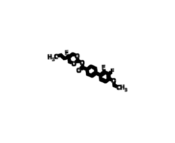 CCCC1(F)COC(OC(=O)C2CC=C(c3ccc(OCC)c(F)c3F)CC2)OC1